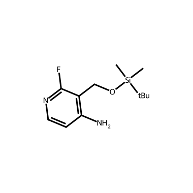 CC(C)(C)[Si](C)(C)OCc1c(N)ccnc1F